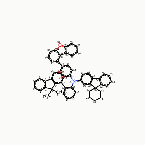 CC1(C)c2ccccc2-c2cccc(-c3ccccc3N(c3ccc(-c4cccc5oc6ccccc6c45)cc3)c3ccc4c(c3)C3(CCCCC3)c3ccccc3-4)c21